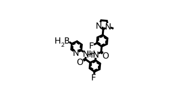 Bc1ccc(NC(=O)c2cc(F)ccc2NC(=O)c2ccc(C3=NCCN3C)cc2F)nc1